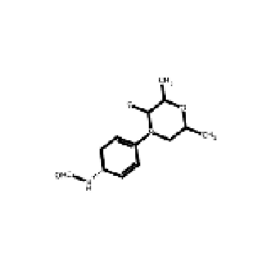 CC1CN(C2=CC[C@@H](NC=O)C=C2)C(F)C(C)O1